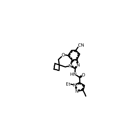 CCn1nc(C)cc1C(=O)Nc1nc2cc(C#N)cc3c2n1CC1(CCC1)CO3